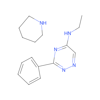 C1CCNCC1.CCNc1cnnc(-c2ccccc2)n1